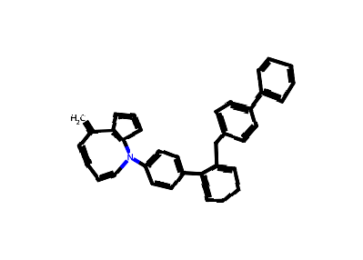 C=C1/C=C\C=C/N(c2ccc(C3=CCCC=C3Cc3ccc(-c4ccccc4)cc3)cc2)C2=C1C=C=C2